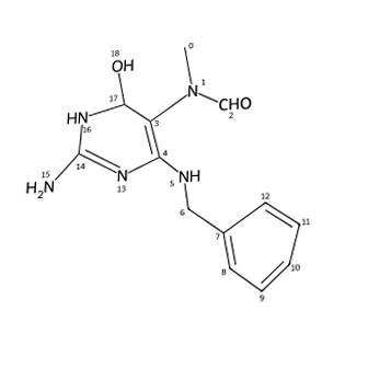 CN(C=O)C1=C(NCc2ccccc2)N=C(N)NC1O